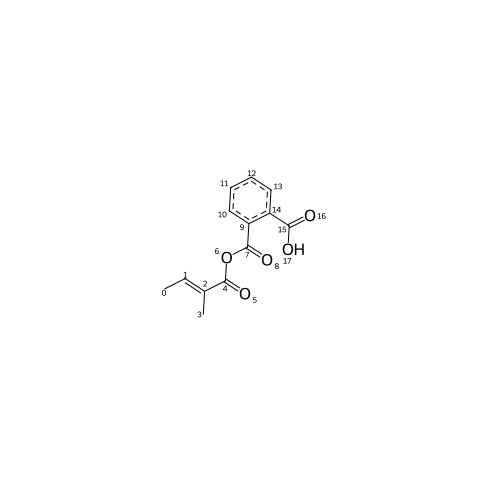 CC=C(C)C(=O)OC(=O)c1ccccc1C(=O)O